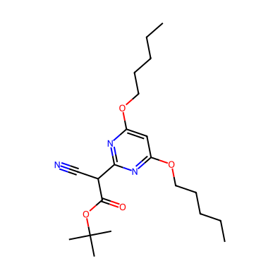 CCCCCOc1cc(OCCCCC)nc(C(C#N)C(=O)OC(C)(C)C)n1